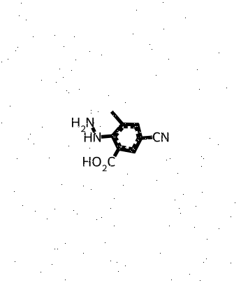 Cc1cc(C#N)cc(C(=O)O)c1NN